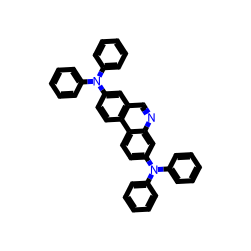 c1ccc(N(c2ccccc2)c2ccc3c(cnc4cc(N(c5ccccc5)c5ccccc5)ccc43)c2)cc1